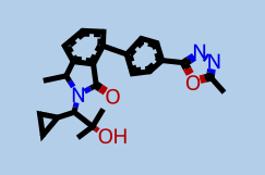 Cc1nnc(-c2ccc(-c3cccc4c3C(=O)N(C(C3CC3)C(C)(C)O)C4C)cc2)o1